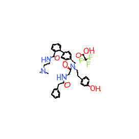 CN(C)CCNC(=O)c1ccccc1-c1ccc(CN(CCc2ccc(O)cc2)C(=O)CNC(=O)Cc2ccccc2)cc1.O=C(O)C(F)(F)F